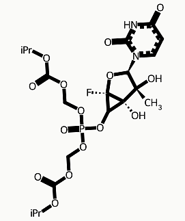 CC(C)OC(=O)OCOP(=O)(OCOC(=O)OC(C)C)OC1[C@]2(O)[C@@](C)(O)[C@H](n3ccc(=O)[nH]c3=O)O[C@]12F